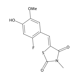 COc1cc(/C=C2\SC(=O)N(C)C2=O)c(F)cc1O